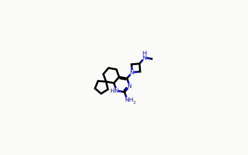 CNC1CN(C2=C3CCCC4(CCCC4)C3NC(N)=N2)C1